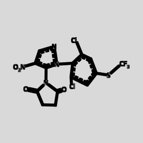 O=C1CCC(=O)N1c1c([N+](=O)[O-])cnn1-c1c(Cl)cc(SC(F)(F)F)cc1Cl